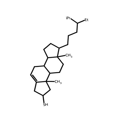 CCC(CCCC1CCC2C3CC=C4CC(S)CC4(C)C3CCC12C)C(C)C